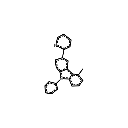 Cc1cccc2c1c1cc(-c3ccccn3)ccc1n2-c1ccccc1